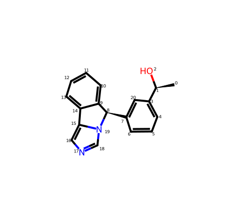 C[C@H](O)c1cccc([C@@H]2c3ccccc3-c3cncn32)c1